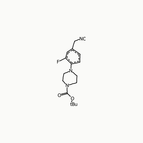 [C-]#[N+]Cc1ccc(N2CCN(C(=O)OC(C)(C)C)CC2)c(F)c1